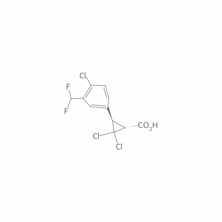 O=C(O)[C@H]1[C@H](c2ccc(Cl)c(C(F)F)c2)C1(Cl)Cl